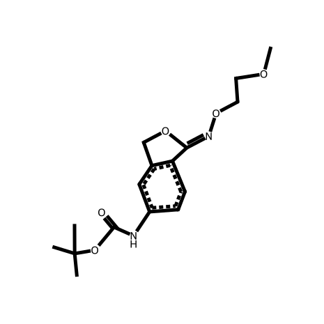 COCCO/N=C1\OCc2cc(NC(=O)OC(C)(C)C)ccc21